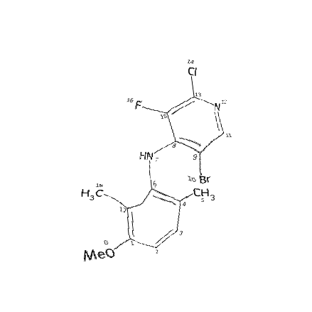 COc1ccc(C)c(Nc2c(Br)cnc(Cl)c2F)c1C